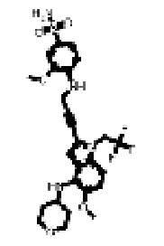 COc1cc(S(N)(=O)=O)ccc1NCC#Cc1cc2c(NC3CCOCC3)c(OC)ccc2n1CC(F)(F)F